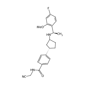 COc1cc(F)ccc1[C@@H](C)NC1CC[C@H](c2ccc(C(=O)NCC#N)cc2)C1